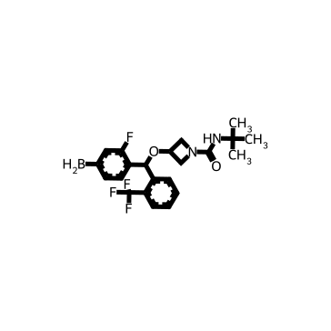 Bc1ccc(C(OC2CN(C(=O)NC(C)(C)C)C2)c2ccccc2C(F)(F)F)c(F)c1